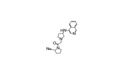 N#CC1CCCN1C(=O)CN1CC[C@@H](Nc2cncc3ccccc23)C1